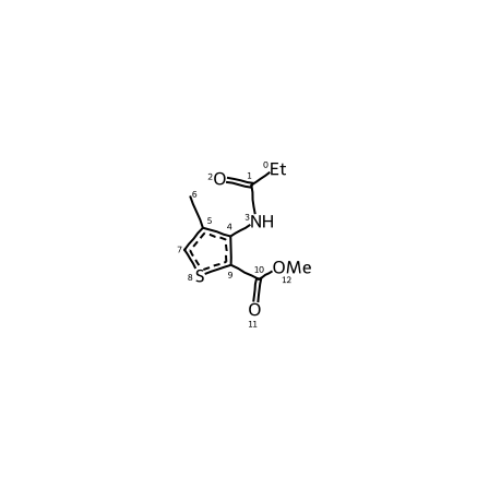 CCC(=O)Nc1c(C)csc1C(=O)OC